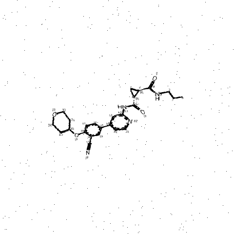 CCCNC(=O)[C@@H]1C[C@H]1C(=O)Nc1cc(-c2ccc(OC3CCOCC3)c(C#N)c2)ccn1